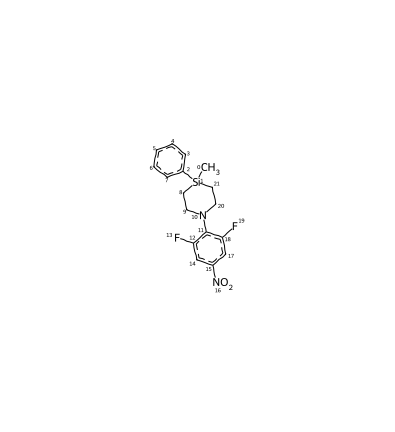 C[Si]1(c2ccccc2)CCN(c2c(F)cc([N+](=O)[O-])cc2F)CC1